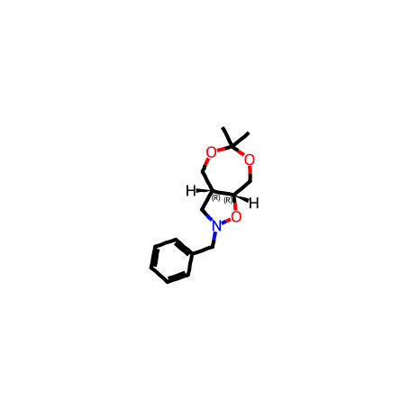 CC1(C)OC[C@H]2CN(Cc3ccccc3)O[C@H]2CO1